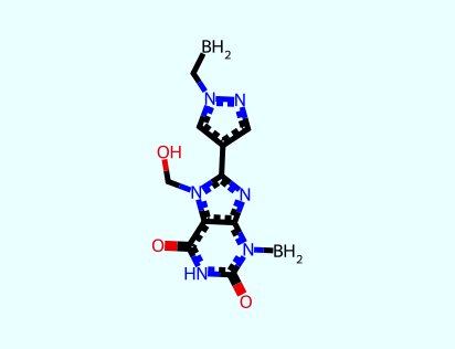 BCn1cc(-c2nc3c(c(=O)[nH]c(=O)n3B)n2CO)cn1